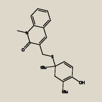 Cn1c(=O)c(CSC2(C(C)(C)C)C=CC(O)=C(C(C)(C)C)C2)cc2ccccc21